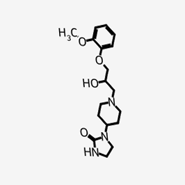 COc1ccccc1OCC(O)CN1CCC(N2CCNC2=O)CC1